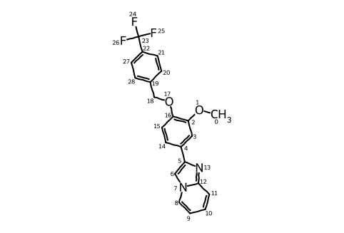 COc1cc(-c2cn3ccccc3n2)ccc1OCc1ccc(C(F)(F)F)cc1